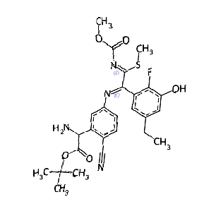 CCc1cc(O)c(F)c(C(=N\c2ccc(C#N)c(C(N)C(=O)OC(C)(C)C)c2)/C(=N/C(=O)OC)SC)c1